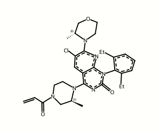 C=CC(=O)N1CCN(c2nc(=O)n(-c3c(CC)cccc3CC)c3nc(N4CCOC[C@H]4C)c(Cl)cc23)[C@@H](C)C1